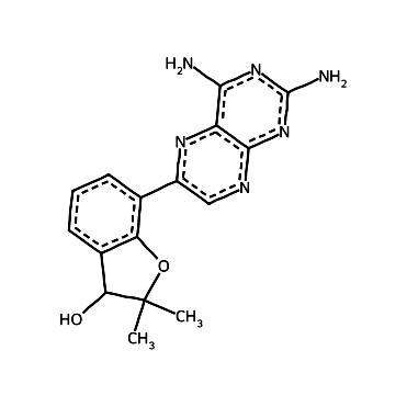 CC1(C)Oc2c(-c3cnc4nc(N)nc(N)c4n3)cccc2C1O